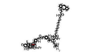 CCC[C@@H]1O[C@@H]2C[C@H]3[C@@H]4C[C@H](F)C5=CC(=O)C=C[C@]5(C)[C@@]4(F)[C@@H](O)C[C@]3(C)[C@]2(C(=O)COc2ccc(CNC(=O)OCc3ccc(NC(=O)[C@H](CCCNC(N)=O)NC(=O)[C@@H](NC(=O)CCOCCOCCOCCOCCNC(=O)CCC(=O)N4Cc5ccccc5C#Cc5ccccc54)C(C)C)cc3)cc2)O1